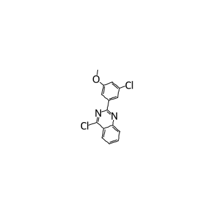 COc1cc(Cl)cc(-c2nc(Cl)c3ccccc3n2)c1